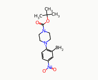 Bc1cc([N+](=O)[O-])ccc1N1CCN(C(=O)OC(C)(C)C)CC1